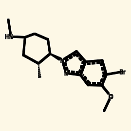 CNC1CC[C@@H](n2cc3cc(Br)c(OC)cc3n2)[C@H](C)C1